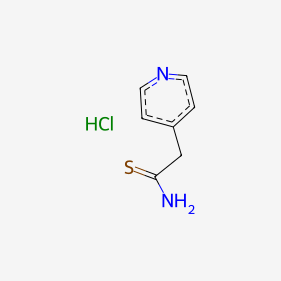 Cl.NC(=S)Cc1ccncc1